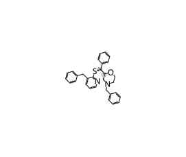 c1ccc(Cc2cccnc2S[C@@H](c2ccccc2)[C@@H]2CN(Cc3ccccc3)CCO2)cc1